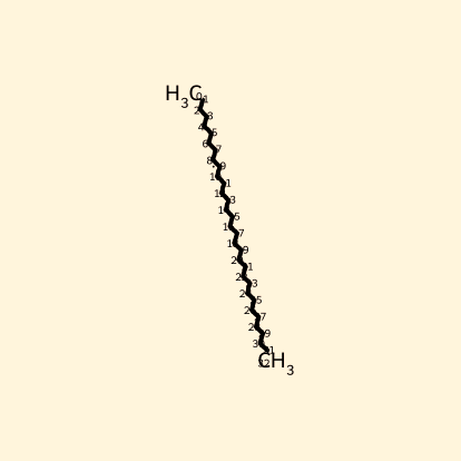 CCCCCCCCC[CH]CCCCCCCCCCCCCCCCCCCCCCC